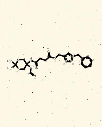 CC1(C)OCC(NC(=O)CCC(=O)OCc2cn(Cc3ccccc3)nn2)(OC=O)CO1